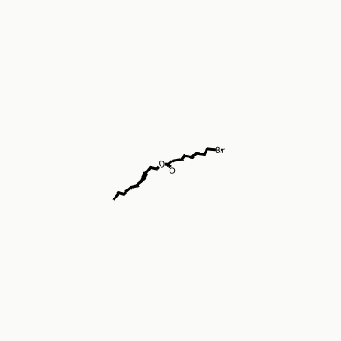 CCCCCC#CCCOC(=O)CCCCCCCBr